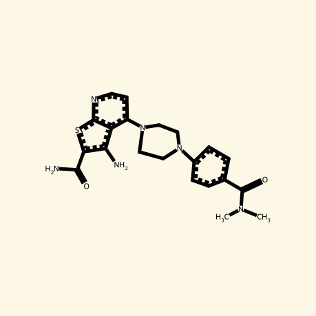 CN(C)C(=O)c1ccc(N2CCN(c3ccnc4sc(C(N)=O)c(N)c34)CC2)cc1